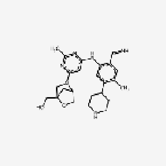 Cc1nc(Nc2cc(C3CCNCC3)c(C)cc2C=N)cc(N2CC3(CO)CC2CO3)n1